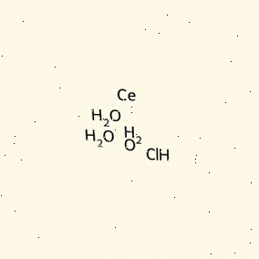 Cl.O.O.O.[Ce]